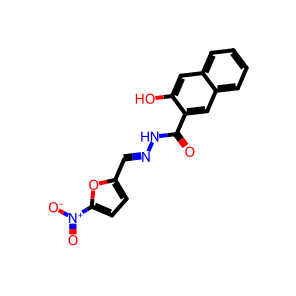 O=C(N/N=C/c1ccc([N+](=O)[O-])o1)c1cc2ccccc2cc1O